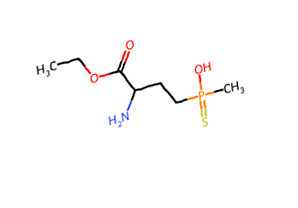 CCOC(=O)C(N)CCP(C)(O)=S